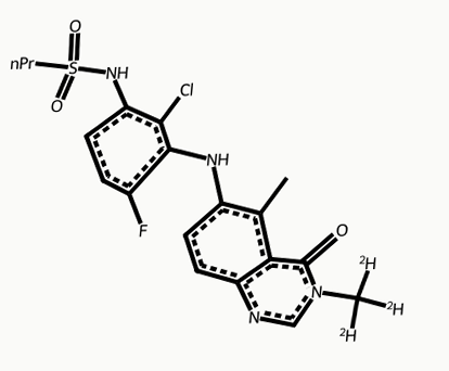 [2H]C([2H])([2H])n1cnc2ccc(Nc3c(F)ccc(NS(=O)(=O)CCC)c3Cl)c(C)c2c1=O